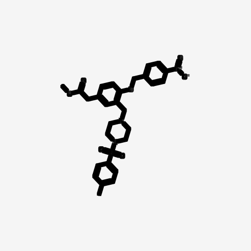 COC(=O)Cc1ccc(OCc2ccc([N+](=O)[O-])cc2)c(CN2CCN(S(=O)(=O)c3ccc(C)cc3)CC2)c1